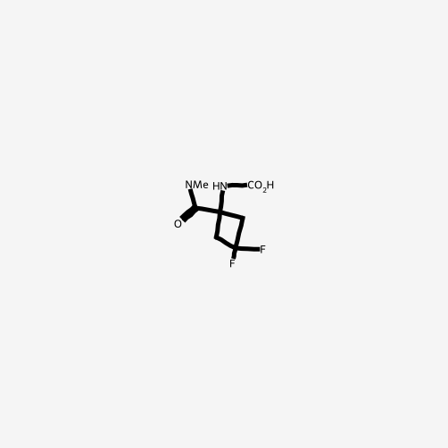 CNC(=O)C1(NC(=O)O)CC(F)(F)C1